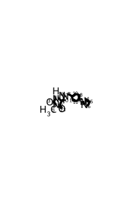 Cn1c(=O)[nH]c2nn(Cc3ccc(-n4cccn4)cc3)cc2c1=O